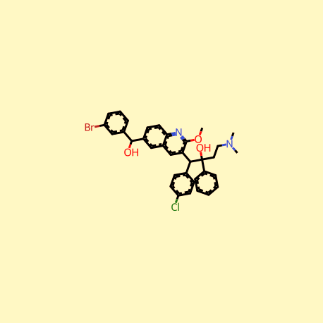 COc1nc2ccc(C(O)c3cccc(Br)c3)cc2cc1C(c1ccc(Cl)cc1)C(O)(CCN(C)C)c1ccccc1